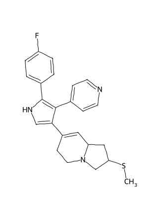 CSC1CC2C=C(c3c[nH]c(-c4ccc(F)cc4)c3-c3ccncc3)CCN2C1